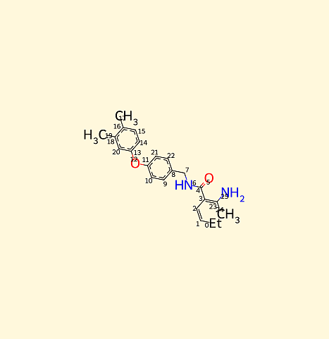 CC/C=C\C(C(=O)NCc1ccc(Oc2ccc(C)c(C)c2)cc1)=C(/C)N